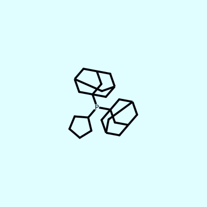 C1CCC(P(C23CC4CC(CC(C4)C2)C3)C23CC4CC(CC(C4)C2)C3)C1